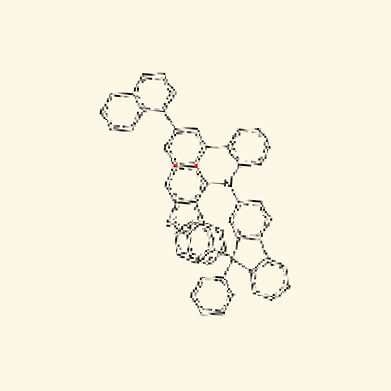 c1ccc(C2(c3ccccc3)c3ccccc3-c3ccc(N(c4ccccc4-c4cccc(-c5cccc6ccccc56)c4)c4cccc5sc6ccccc6c45)cc32)cc1